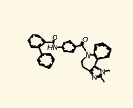 Cc1nc2c(n1C)-c1ccccc1N(C(=O)c1ccc(NC(=O)c3ccccc3-c3ccccc3)cc1)CC2